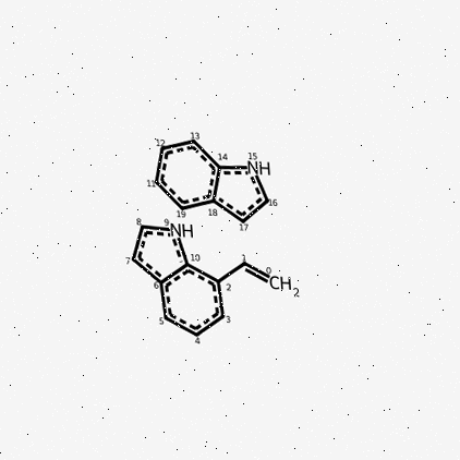 C=Cc1cccc2cc[nH]c12.c1ccc2[nH]ccc2c1